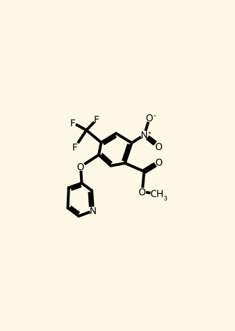 COC(=O)c1cc(Oc2cccnc2)c(C(F)(F)F)cc1[N+](=O)[O-]